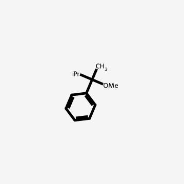 COC(C)(c1ccccc1)C(C)C